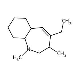 CCC1=CC2CCCCC2N(C)CC1C